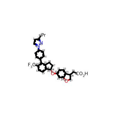 CC(C)c1ccn(-c2ccc(-c3c(C(F)(F)F)ccc4c3CC[C@H]4Oc3ccc4c(c3)OCC4CC(=O)O)cc2)n1